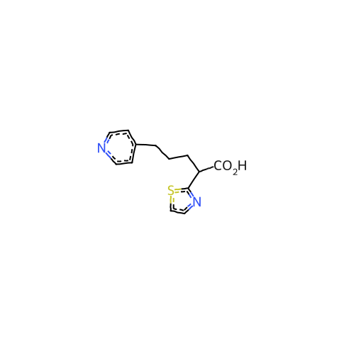 O=C(O)C(CCCc1ccncc1)c1nccs1